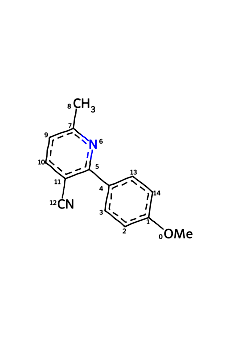 COc1ccc(-c2nc(C)ccc2C#N)cc1